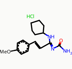 COc1ccc(C=CC(=NC(N)=O)NC2CCCCC2)cc1.Cl